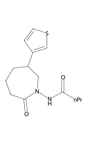 CCCC(=O)NN1CC(c2ccsc2)CCCC1=O